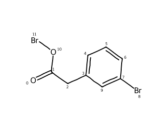 O=C(Cc1cccc(Br)c1)OBr